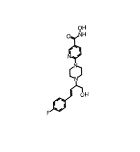 O=C(NO)c1ccc(N2CCN(C(/C=C/c3ccc(F)cc3)CO)CC2)nc1